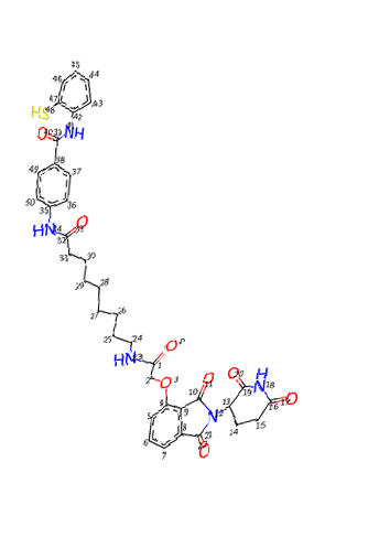 O=C(COc1cccc2c1C(=O)N(C1CCC(=O)NC1=O)C2=O)NCCCCCCCCC(=O)Nc1ccc(C(=O)Nc2ccccc2S)cc1